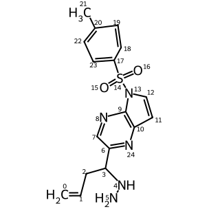 C=CCC(NN)c1cnc2c(ccn2S(=O)(=O)c2ccc(C)cc2)n1